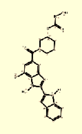 CCn1c(-c2nc3cc(C(=O)N4CCC[C@@H](OC(=O)NC(C)(C)C)C4)cc(Br)c3n2C)cc2ccccc21